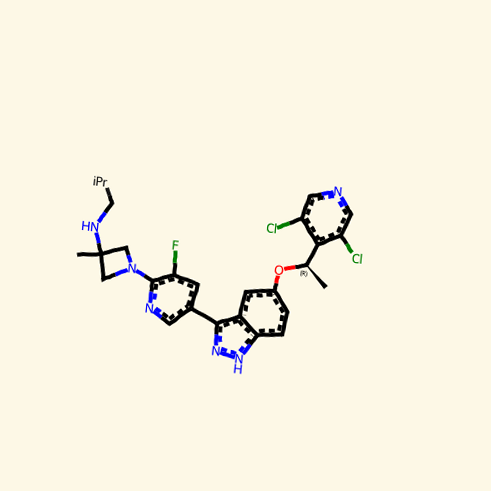 CC(C)CNC1(C)CN(c2ncc(-c3n[nH]c4ccc(O[C@H](C)c5c(Cl)cncc5Cl)cc34)cc2F)C1